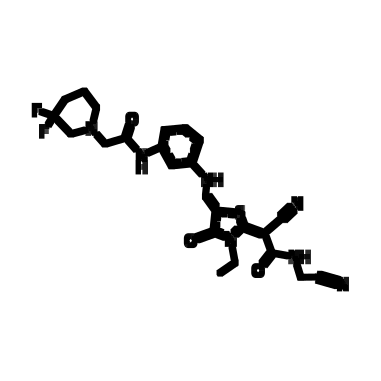 CCn1c(=C(C#N)C(=O)NCC#N)sc(=CNc2cccc(NC(=O)CN3CCCC(F)(F)C3)c2)c1=O